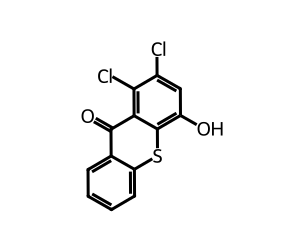 O=c1c2ccccc2sc2c(O)cc(Cl)c(Cl)c12